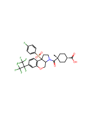 C[C@]1(C(=O)N2CCC3(S(=O)(=O)c4ccc(F)cc4)c4ccc(C(F)(C(F)(F)F)C(F)(F)F)cc4OCC23)CC[C@H](C(=O)O)CC1